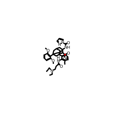 CCN(CC)CCC(=O)Nc1c(C)cccc1C12CC3CC(c4c(OC)cccc4OC)(CC(NC(=O)n4cccn4)(C3)C1C(=O)O)C2